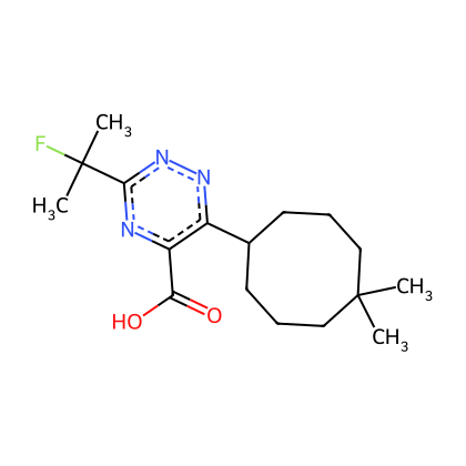 CC1(C)CCCC(c2nnc(C(C)(C)F)nc2C(=O)O)CCC1